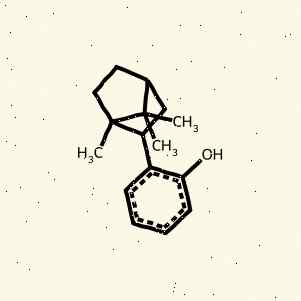 CC1(C)C2CCC1(C)C(c1ccccc1O)C2